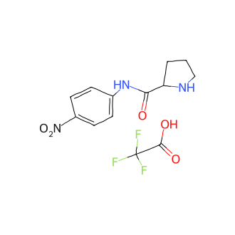 O=C(Nc1ccc([N+](=O)[O-])cc1)C1CCCN1.O=C(O)C(F)(F)F